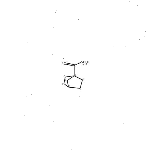 O=C(C12CCC(CC1)C2)S(=O)(=O)O